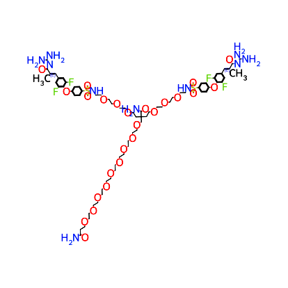 C/C(=C\c1cc(F)c(Oc2ccc(S(=O)(=O)NCCOCCOCCOCCC(CCOCCOCCOCCNS(=O)(=O)c3ccc(Oc4c(F)cc(/C=C(\C)C(=O)N=C(N)N)cc4F)cc3)(COCCOCCOCCOCCOCCOCCOCCOCCOCCC(N)=O)C(N)=O)cc2)c(F)c1)C(=O)N=C(N)N